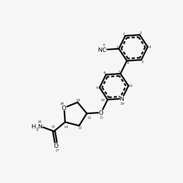 N#Cc1ccccc1-c1ccc(OC2[CH]C(C(N)=O)OC2)nc1